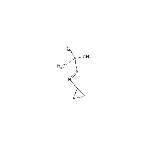 CC(C)(Cl)/N=N/C1CC1